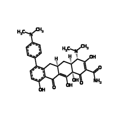 CN(C)c1ccc(-c2ccc(O)c3c2C[C@H]2C[C@H]4[C@H](N(C)C)C(O)=C(C(N)=O)C(=O)[C@@]4(O)C(O)=C2C3=O)cc1